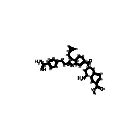 COC(=O)c1ccc(CN(CCN)C(=O)c2ccc3c(c2)nc(CCc2ccc(C(=N)N)cc2)n3CC2CC2)cc1